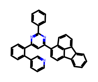 c1ccc(-c2nc(-c3ccccc3-c3cccnc3)cc(-c3ccc4c5c(cccc35)-c3ccccc3-4)n2)cc1